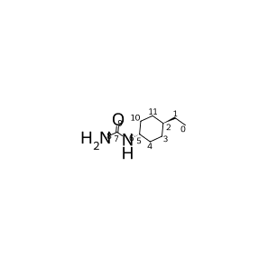 CC[C@H]1CC[C@H](NC(N)=O)CC1